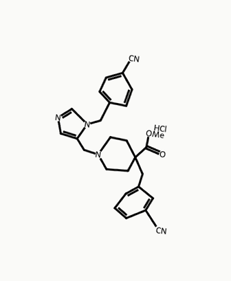 COC(=O)C1(Cc2cccc(C#N)c2)CCN(Cc2cncn2Cc2ccc(C#N)cc2)CC1.Cl